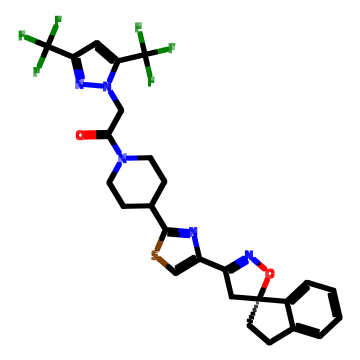 O=C(Cn1nc(C(F)(F)F)cc1C(F)(F)F)N1CCC(c2nc(C3=NO[C@]4(CCc5ccccc54)C3)cs2)CC1